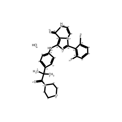 CC(C)(C(=O)N1CCOCC1)c1ccc(Nc2nc(-c3c(F)cccc3F)n3cc[nH]c(=O)c23)cc1.Cl